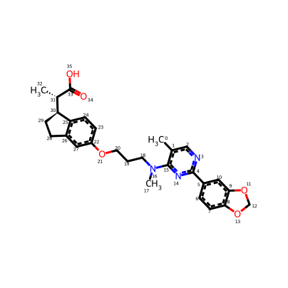 Cc1cnc(-c2ccc3c(c2)OCO3)nc1N(C)CCCOc1ccc2c(c1)CC[C@H]2[C@H](C)C(=O)O